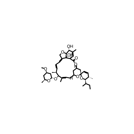 CCC(C)[C@H]1O[C@]2(C=C[C@@H]1C)C[C@@H]1C[C@@H](C/C=C(\C)[C@@H](O[C@H]3C[C@H](OC)C[C@H](C)O3)[C@@H](C)/C=C/C=C3\COC4[C@H](O)C(C)=C[C@@H](C(=O)O1)[C@]34O)O2